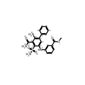 COC(=O)c1cccc(Nc2cc(-c3ccccc3)c(N)c(C(N)=O)c2S(N)(=O)=O)c1